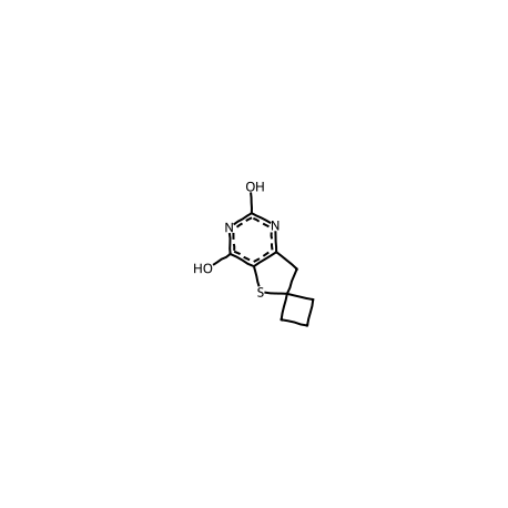 Oc1nc(O)c2c(n1)CC1(CCC1)S2